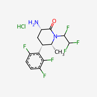 C[C@@H]1[C@H](c2c(F)ccc(F)c2F)C[C@H](N)C(=O)N1C(F)C(F)F.Cl